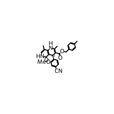 COc1cc(C#N)ccc1[C@@H]1C(C(=O)OCc2ccc(C)cc2)=C(C)Nc2c(C)c[nH]c(=O)c21